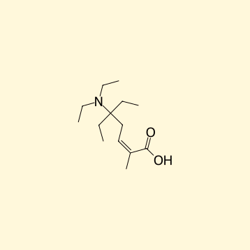 CCN(CC)C(CC)(CC)CC=C(C)C(=O)O